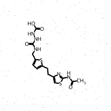 CC(=O)Nc1nc(CCc2ccc(CNC(=O)NNC(=O)O)s2)cs1